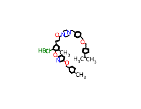 Br.Cc1ccc(COc2ccc(Oc3c(C)cc(C=CC(=O)N4CCN(Cc5ccc(COCc6ccc(C(C)C)cc6)cc5)CC4)cc3Cl)nc2)cc1